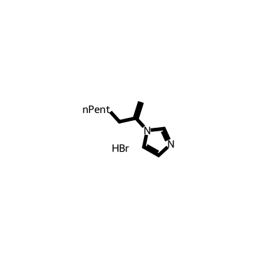 Br.C=C(CCCCCC)n1ccnc1